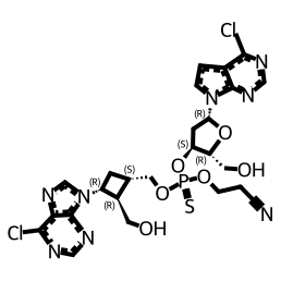 N#CCCOP(=S)(OC[C@H]1C[C@@H](n2cnc3c(Cl)ncnc32)[C@@H]1CO)O[C@H]1C[C@H](n2ccc3c(Cl)ncnc32)O[C@@H]1CO